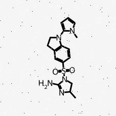 CC1CN(S(=O)(=O)c2ccc3c(c2)CCN3c2cccn2C)C(N)=N1